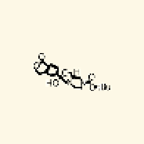 CC(C)(C)OC(=O)N1CCN2CC(O)(c3ccc4c(c3)CCOC4=O)OC[C@@H]2C1